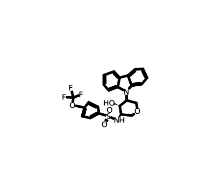 O=S(=O)(N[C@@H]1COCC(n2c3ccccc3c3ccccc32)[C@H]1O)c1ccc(OC(F)(F)F)cc1